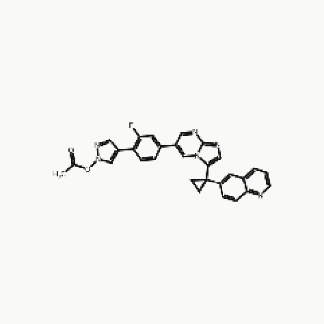 CC(=O)On1cc(-c2ccc(-c3cnc4ncc(C5(c6ccc7ncccc7c6)CC5)n4c3)cc2F)cn1